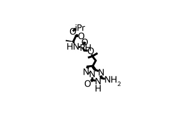 CC(C)OC(=O)[C@H](C)N[PH](=O)COC(C)(C)Cc1cnn2c(=O)[nH]c(N)nc12